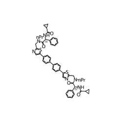 CCCN(Cc1ncc(-c2ccc(-c3ccc(-c4cnc(CN(CCC)C(=O)[C@@H](NC(=O)C5CC5)c5ccccc5)s4)cc3)cc2)s1)C(=O)[C@@H](NC(=O)C1CC1)c1ccccc1